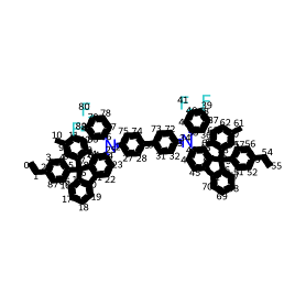 C=Cc1ccc(C2(c3cc(C)ccc3C)c3ccccc3-c3ccc(N(c4ccc(-c5ccc(N(c6ccc(F)c(F)c6)c6ccc7c(c6)C(c6ccc(C=C)cc6)(c6cc(C)ccc6C)c6ccccc6-7)cc5)cc4)c4ccc(F)c(F)c4)cc32)cc1